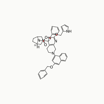 O=C(OCc1ccccc1)N1C2CC[C@H]1CN(c1nc(OCc3ccc[nH]3)nc3c1CCN(c1cc(OCc4ccccc4)cc4ccccc14)C3)C2